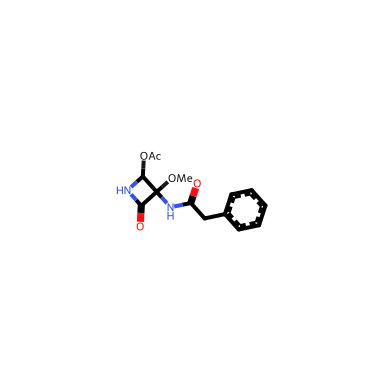 COC1(NC(=O)Cc2ccccc2)C(=O)NC1OC(C)=O